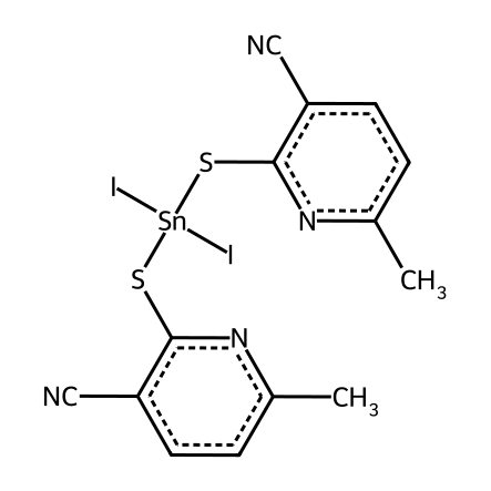 Cc1ccc(C#N)c([S][Sn]([I])([I])[S]c2nc(C)ccc2C#N)n1